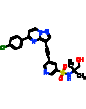 CC(C)(CO)NS(=O)(=O)c1cncc(C#Cc2cnn3ccc(-c4ccc(Cl)cc4)nc23)c1